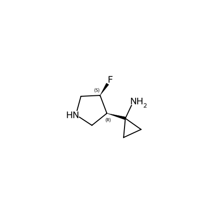 NC1([C@H]2CNC[C@H]2F)CC1